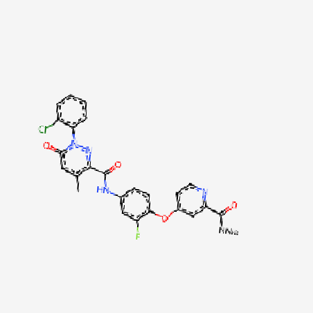 CNC(=O)c1cc(Oc2ccc(NC(=O)c3nn(-c4ccccc4Cl)c(=O)cc3C)cc2F)ccn1